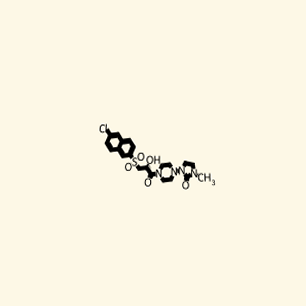 CN1CCN(N2CCN(C(=O)[C@H](O)CS(=O)(=O)c3ccc4cc(Cl)ccc4c3)CC2)C1=O